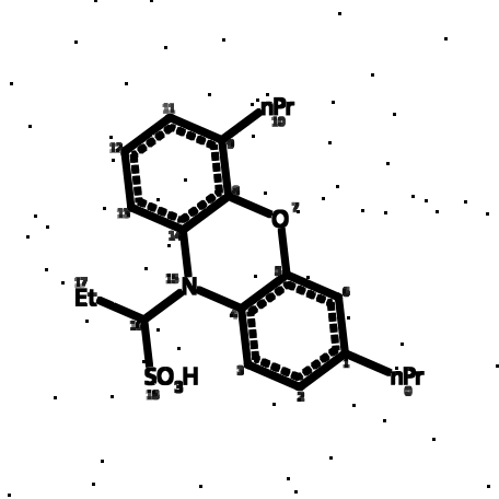 CCCc1ccc2c(c1)Oc1c(CCC)cccc1N2C(CC)S(=O)(=O)O